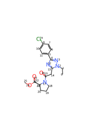 CCn1nc(-c2ccc(Cl)cc2)nc1CC(=O)N1CCC[C@H]1C(=O)OC